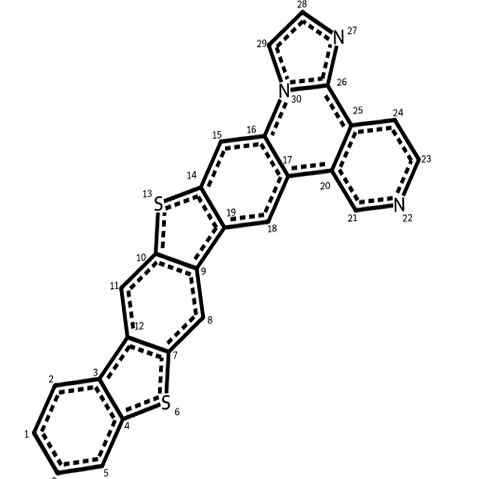 c1ccc2c(c1)sc1cc3c(cc12)sc1cc2c(cc13)c1cnccc1c1nccn21